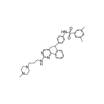 Cc1cc(C)cc(S(=O)(=O)Nc2ccc(C3Cc4cnc(NCCCN5CCN(C)CC5)nc4-c4ccccc43)cc2)c1